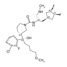 CNC[C@H](C[C@H]1C[C@@H](F)[C@@H](F)C1)NC(=O)N1CCC[C@@H]([C@@](O)(CCCCOC)c2cccc(Cl)c2F)C1